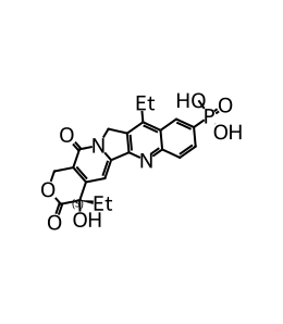 CCc1c2c(nc3ccc(P(=O)(O)O)cc13)-c1cc3c(c(=O)n1C2)COC(=O)[C@]3(O)CC